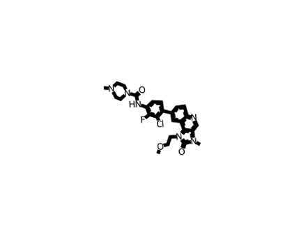 COCCn1c(=O)n(C)c2cnc3ccc(-c4ccc(NC(=O)N5CCN(C)CC5)c(F)c4Cl)cc3c21